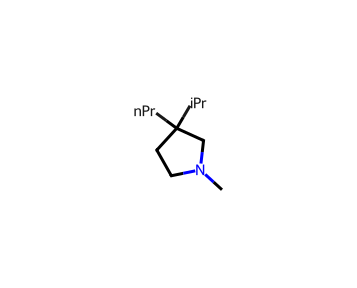 CCCC1(C(C)C)CCN(C)C1